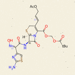 CC(=O)OC/C=C/C1=C(C(=O)OCOC(=O)C(C)(C)C)N2C(=O)[C@@H](NC(=O)/C(=N\O)c3csc(N)n3)[C@H]2SC1